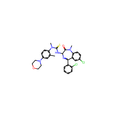 Cc1cc(N2CCOCC2)ccc1N(C)C(=S)NC1N=C(c2ccccc2Cl)c2cc(Cl)ccc2N(C)C1=O